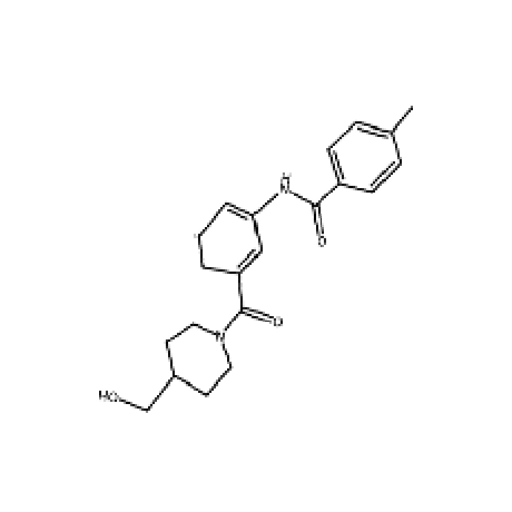 Cc1ccc(C(=O)NC2=C[CH]CC(C(=O)N3CCC(CO)CC3)=C2)cc1